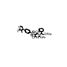 CCCc1nc(=O)c(S(=O)(=O)c2ccc(-c3ccnc(F)c3C)cc2)c(O)n1C(COC)c1ccccc1